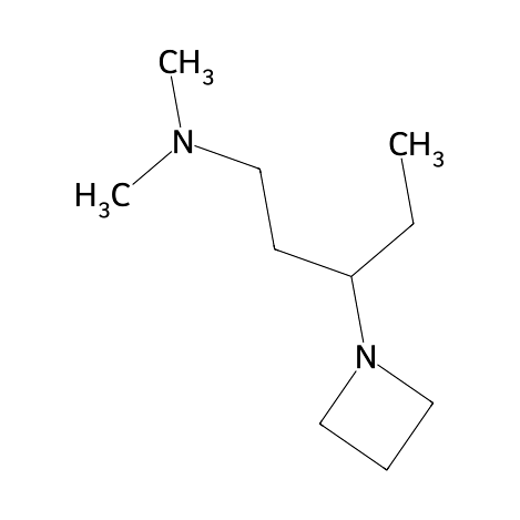 CCC(CCN(C)C)N1CCC1